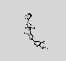 CC(C)n1nc(-c2cnc(N)c(Cl)c2)cc1[C@H]1[C@@H]2CN(C3CCO3)C[C@@H]21